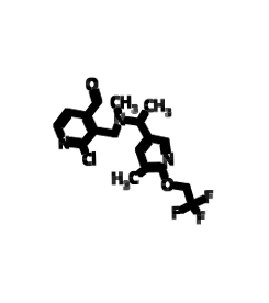 Cc1cc(C(C)N(C)Cc2c(C=O)ccnc2Cl)cnc1OCC(F)(F)F